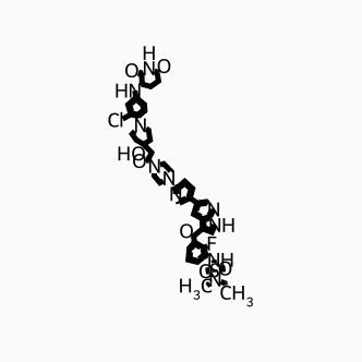 CCN(C)S(=O)(=O)Nc1cccc(C(=O)c2c[nH]c3ncc(-c4ccc(N5CCN(C(=O)CC6(O)CCN(c7ccc(NC8CCC(=O)NC8=O)cc7Cl)CC6)CC5)nc4)cc23)c1F